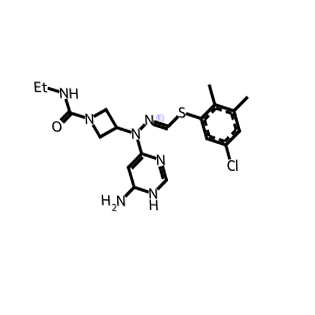 CCNC(=O)N1CC(N(/N=C/Sc2cc(Cl)cc(C)c2C)C2=CC(N)NC=N2)C1